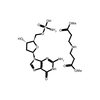 COC(=O)CCNCCC(=O)OC.Nc1nc2c(ncn2[C@H]2C[C@H](O)[C@@H](COP(N)(=O)O)O2)c(=O)[nH]1